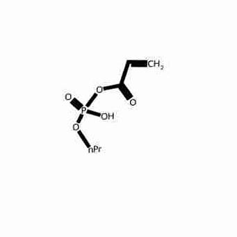 C=CC(=O)OP(=O)(O)OCCC